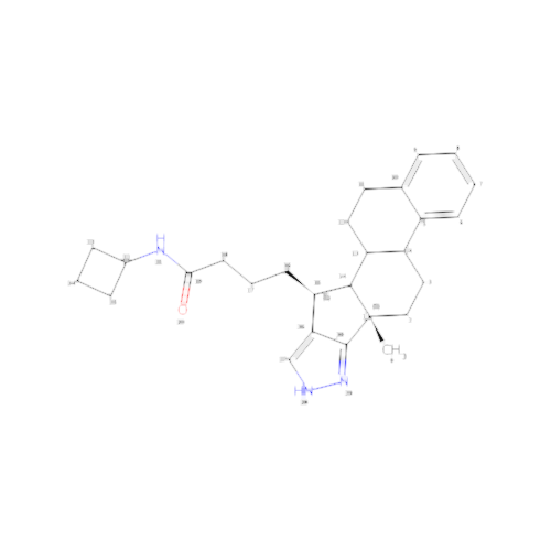 C[C@]12CCC3c4ccccc4CCC3C1[C@H](CCCC(=O)NC1CCC1)c1c[nH]nc12